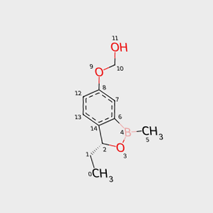 CC[C@H]1OB(C)c2cc(OCO)ccc21